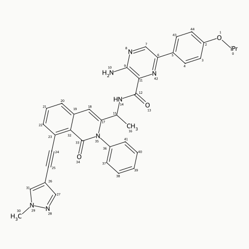 CC(C)Oc1ccc(-c2cnc(N)c(C(=O)NC(C)c3cc4cccc(C#Cc5cnn(C)c5)c4c(=O)n3-c3ccccc3)n2)cc1